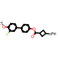 CCCCCCCCOc1ccc(-c2ccc(OC(=O)C3CC(CCCCC)C3)cc2)cc1F